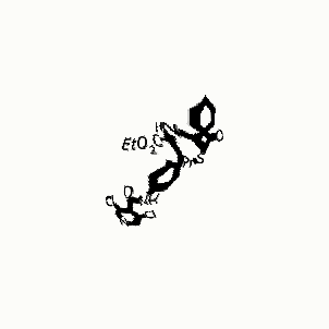 CCOC(=O)[C@H](Cc1ccc(NC(=O)c2c(Cl)cncc2Cl)cc1)NC1=C(SC(C)C)C(=O)C12CCCCC2